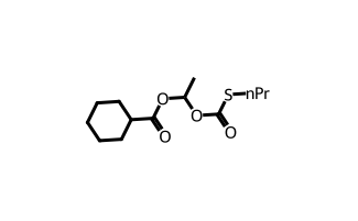 CCCSC(=O)OC(C)OC(=O)C1CCCCC1